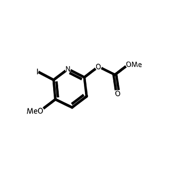 COC(=O)Oc1ccc(OC)c(I)n1